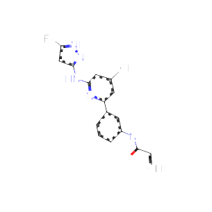 C=CC(=O)Nc1cccc(-c2cc(C)cc(Nc3cc(CC)[nH]n3)n2)c1